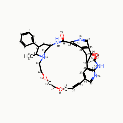 CC1C(c2ccccc2)CC2CN1CCOCCOC/C=C\c1cnc3c(c1)[C@]1(Cc4cc(ncc4C1=O)C(=O)N2)C(=O)N3